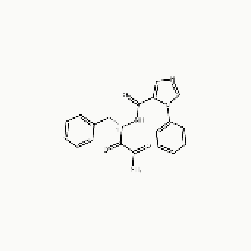 NC(=O)C(=O)[C@H](Cc1ccccc1)NC(=O)c1cncn1-c1ccccc1